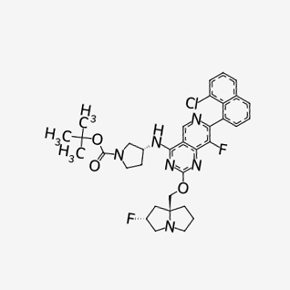 CC(C)(C)OC(=O)N1CC[C@@H](Nc2nc(OC[C@@]34CCCN3C[C@H](F)C4)nc3c(F)c(-c4cccc5cccc(Cl)c45)ncc23)C1